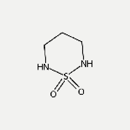 O=S1(=O)NCCCN1